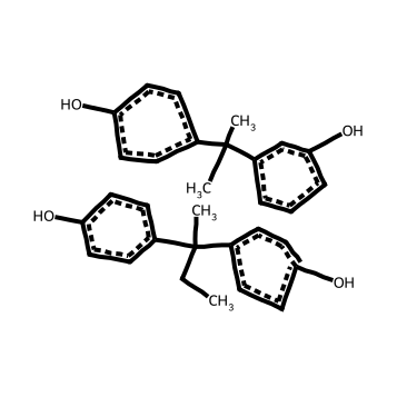 CC(C)(c1ccc(O)cc1)c1cccc(O)c1.CCC(C)(c1ccc(O)cc1)c1ccc(O)cc1